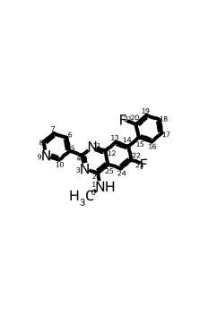 CNc1nc(-c2cccnc2)nc2cc(-c3ccccc3F)c(F)cc12